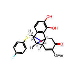 COC1=C[C@@H]2[C@@H]3[C@H](Sc4ccc(F)cc4)c4ccc(O)c(O)c4[C@@]2(CC1=O)CN3C